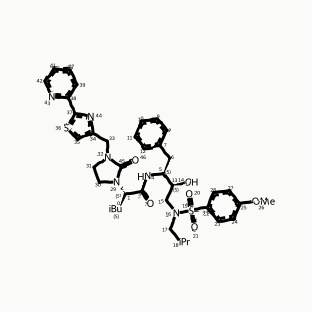 CC[C@H](C)[C@@H](C(=O)N[C@@H](Cc1ccccc1)[C@@H](O)CN(CC(C)C)S(=O)(=O)c1ccc(OC)cc1)N1CCN(Cc2csc(-c3ccccn3)n2)C1=O